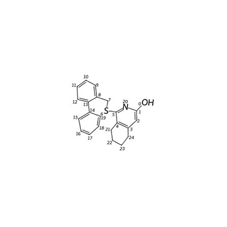 Oc1cc2c(c(SCc3ccccc3-c3ccccc3)n1)CCCC2